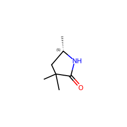 C[C@H]1CC(C)(C)C(=O)N1